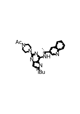 CCC(C)n1cc2nc(N3CCN(C(C)=O)CC3)nc(N[C@H](C)c3cnc4ccccc4c3)c2n1